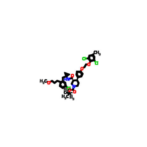 COCCCc1ccc(Cl)cc1CC1(NC(=O)[C@H]2CN(C(=O)OC(C)(C)C)CC[C@@H]2c2ccc(OCCOc3c(Cl)cc(C)cc3Cl)cc2)CC1